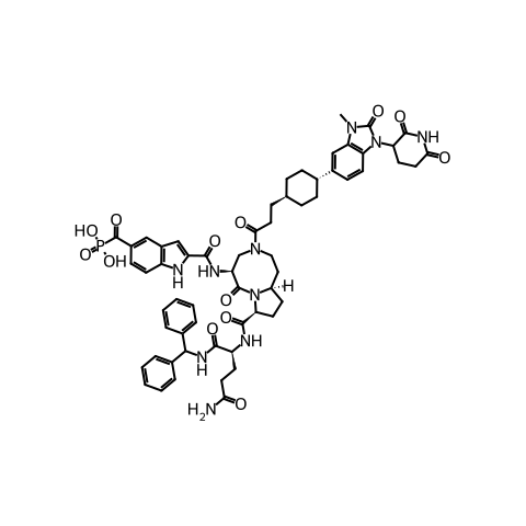 Cn1c(=O)n(C2CCC(=O)NC2=O)c2ccc([C@H]3CC[C@H](CCC(=O)N4CC[C@H]5CC[C@@H](C(=O)N[C@@H](CCC(N)=O)C(=O)NC(c6ccccc6)c6ccccc6)N5C(=O)[C@@H](NC(=O)c5cc6cc(C(=O)P(=O)(O)O)ccc6[nH]5)C4)CC3)cc21